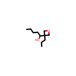 CCCCC(O)C1(CCC)COC1